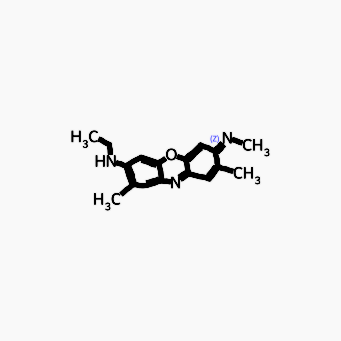 CCNc1cc2oc3c/c(=N/C)c(C)cc-3nc2cc1C